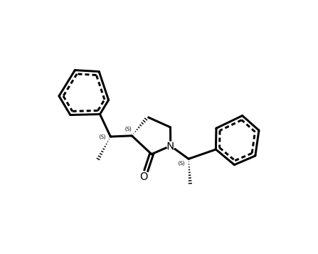 C[C@H](c1ccccc1)[C@@H]1CCN([C@@H](C)c2ccccc2)C1=O